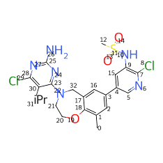 Cc1cc(-c2cnc(Cl)c(NS(C)(=O)=O)c2)cc2c1OCCN(c1nc(N)nc(Cl)c1C(C)C)C2